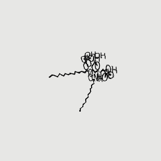 CCCCCCCCCCCCCC(=O)N[C@@H]1[C@@H](OC(=O)CCCCCCCCCCCCC)[C@H](OP(=O)(O)O)[C@@H](CO)O[C@@H]1CCP(=O)(O)O